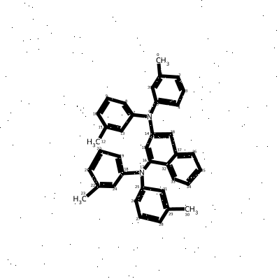 Cc1cccc(N(c2cccc(C)c2)c2cc(N(c3cccc(C)c3)c3cccc(C)c3)c3ccccc3c2)c1